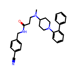 CN(CCC(=O)NCc1ccc(C#N)cc1)C1CCN(c2ccccc2-c2ccccc2)CC1